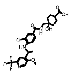 COc1cnc(C(F)(F)F)cc1C(C)Nc1ccc(C(=O)NCC2(O)CCC(C(=O)O)CC2)cc1Cl